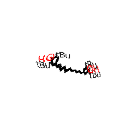 CC(C)(C)c1cc(CCCCCCCCCCCc2cc(C(C)(C)C)c(O)c(C(C)(C)C)c2)cc(C(C)(C)C)c1O